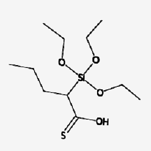 CCCC(C(O)=S)[Si](OCC)(OCC)OCC